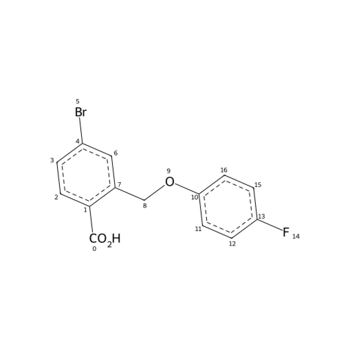 O=C(O)c1ccc(Br)cc1COc1ccc(F)cc1